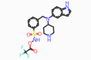 O=C(ONS(=O)(=O)c1cccc(CN(c2ccc3[nH]ccc3c2)C2CCNCC2)c1)C(F)(F)F